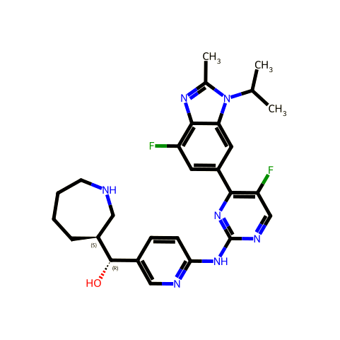 Cc1nc2c(F)cc(-c3nc(Nc4ccc([C@H](O)[C@H]5CCCCNC5)cn4)ncc3F)cc2n1C(C)C